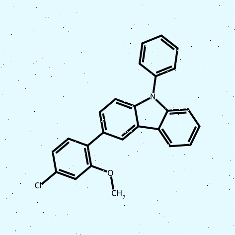 COc1cc(Cl)ccc1-c1ccc2c(c1)c1ccccc1n2-c1ccccc1